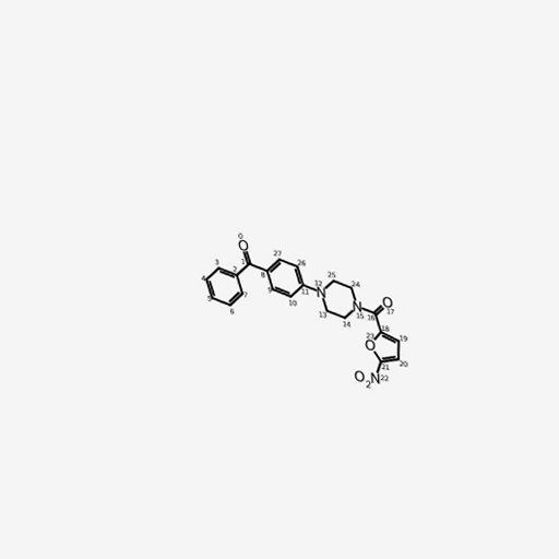 O=C(c1ccccc1)c1ccc(N2CCN(C(=O)c3ccc([N+](=O)[O-])o3)CC2)cc1